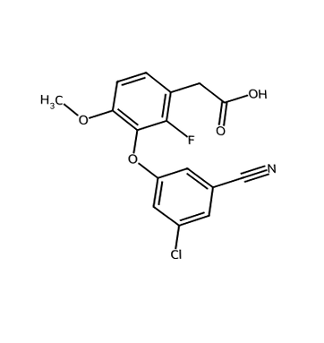 COc1ccc(CC(=O)O)c(F)c1Oc1cc(Cl)cc(C#N)c1